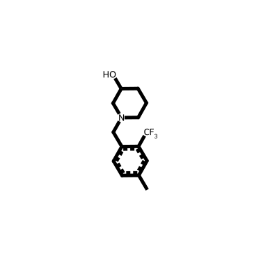 Cc1ccc(CN2CCCC(O)C2)c(C(F)(F)F)c1